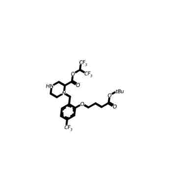 CC(C)(C)OC(=O)CCCOc1cc(C(F)(F)F)ccc1CN1CCNCC1C(=O)OC(C(F)(F)F)C(F)(F)F